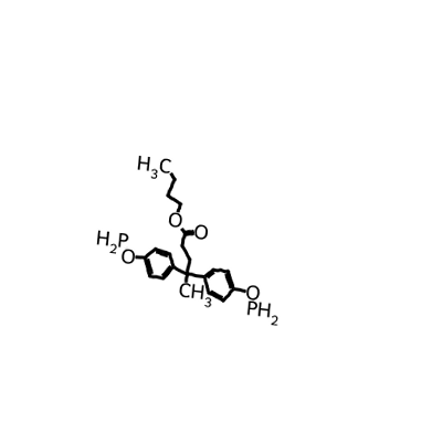 CCCCOC(=O)CCC(C)(c1ccc(OP)cc1)c1ccc(OP)cc1